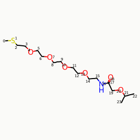 CSCCOCCOCCOCCOCCNC(=O)COC(C)C